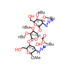 CCCCOC(=O)[C@@H]1O[C@@H](O[C@@H]2C(CO)O[C@H](OC)C(N=[N+]=[N-])[C@H]2O)[C@@H](OCCCC)C(OCCCC)[C@@H]1O[C@H]1O[C@@H](CO)[C@@H](OCCCC)[C@H](OCCCC)C1N=[N+]=[N-]